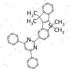 CC1(C)C2=C(c3ccccc31)[Si](C)(C)c1ccc(-c3nc(-c4ccccc4)cc(-c4ccccc4)n3)cc12